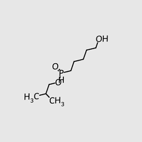 CC(C)CO[PH](=O)CCCCCO